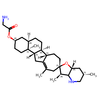 CC1=C2C[C@H]3[C@@H](CC[C@@H]4C[C@H](OC(=O)CN)CC[C@@]43C)[C@@H]2CC[C@@]2(C1)O[C@@H]1C[C@H](C)CNC1[C@H]2C